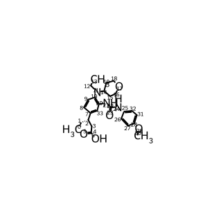 CC[C@@H](CC(=O)O)c1ccc(N(CC)C2CCOCC2)c(NC(=O)Nc2ccc(OC)cc2)c1